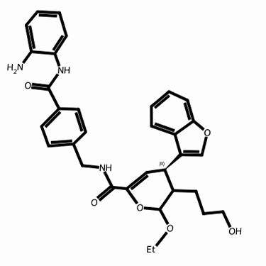 CCOC1OC(C(=O)NCc2ccc(C(=O)Nc3ccccc3N)cc2)=C[C@@H](c2coc3ccccc23)C1CCCO